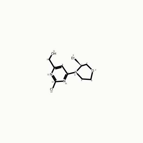 CC[C@H]1COCCN1c1cc(CO)nc(Cl)n1